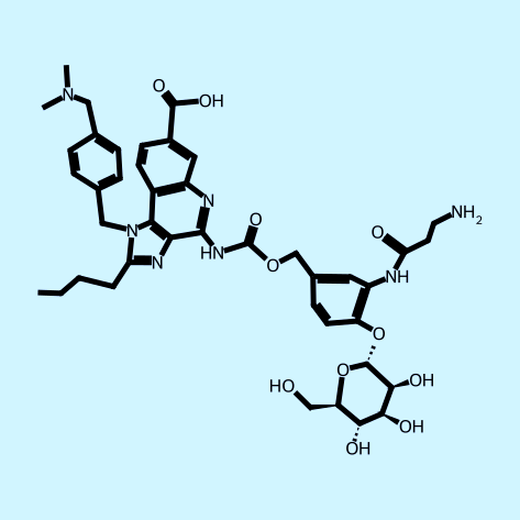 CCCCc1nc2c(NC(=O)OCc3ccc(O[C@H]4O[C@H](CO)[C@@H](O)[C@H](O)[C@@H]4O)c(NC(=O)CCN)c3)nc3cc(C(=O)O)ccc3c2n1Cc1ccc(CN(C)C)cc1